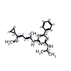 C=N/C(=C\C=C(/C)Nc1nc(NC(C)C)nc(-c2ccccc2)n1)C1CC1